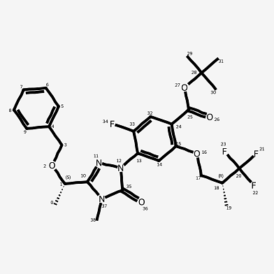 C[C@H](OCc1ccccc1)c1nn(-c2cc(OC[C@@H](C)C(F)(F)F)c(C(=O)OC(C)(C)C)cc2F)c(=O)n1C